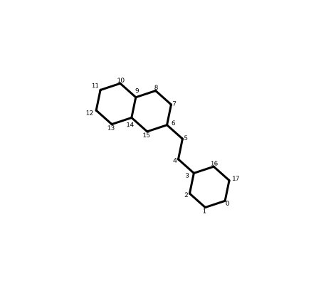 C1CCC(CCC2CCC3CCCCC3C2)CC1